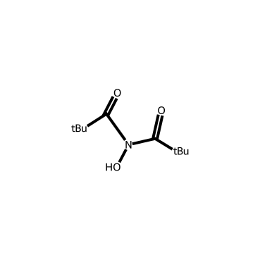 CC(C)(C)C(=O)N(O)C(=O)C(C)(C)C